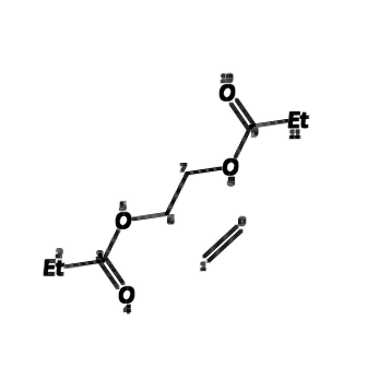 C=C.CCC(=O)OCCOC(=O)CC